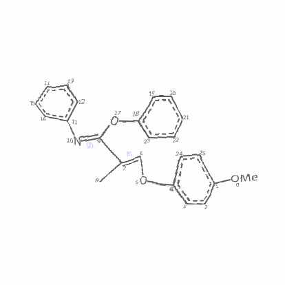 COc1ccc(O/C=C(C)/C(=N/c2ccccc2)Oc2ccccc2)cc1